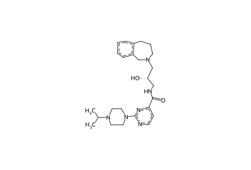 CC(C)N1CCN(c2nccc(C(=O)NC[C@H](O)CN3CCCc4ccccc4C3)n2)CC1